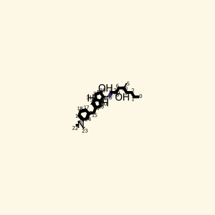 CCCC[C@H](C)C[C@H](O)/C=C/[C@@H]1[C@H]2CC(Cc3cccc(N(C)C)c3)=C[C@H]2C[C@H]1O